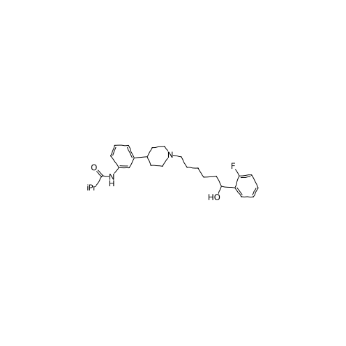 CC(C)C(=O)Nc1cccc(C2CCN(CCCCCC(O)c3ccccc3F)CC2)c1